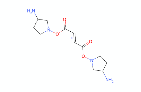 NC1CCN(OC(=O)/C=C/C(=O)ON2CCC(N)C2)C1